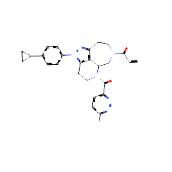 C=CC(=O)N1CCc2nn(-c3ccc(C4CC4)cc3)c3c2[C@@H](C1)N(C(=O)c1ccc(C(F)(F)F)nn1)CC3